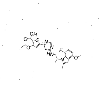 CCOc1cc(-c2cc(NCC(C)n3c(C)cc4c(OC)ccc(F)c43)ncn2)sc1C(=O)O